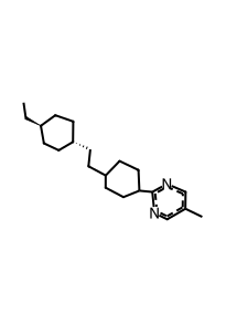 CC[C@H]1CC[C@H](CCC2CCC(c3ncc(C)cn3)CC2)CC1